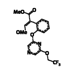 CO/C=C(/C(=O)OC)c1ccccc1Oc1cncc(OCC(F)(F)F)n1